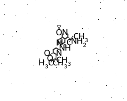 CCC(C)(N)c1cnc(OC2CC2)c2cnc(Nc3ccc4c(n3)[C@@H](C)C(C)(C)OC4=O)cc12